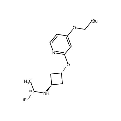 CC(C)[C@H](C)N[C@H]1C[C@H](Oc2cc(OCC(C)(C)C)ccn2)C1